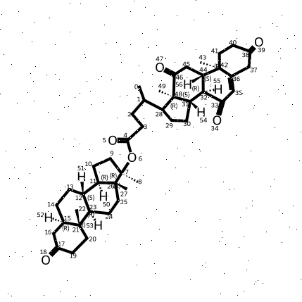 CC(CCC(=O)O[C@]1(C)CC[C@@H]2[C@H]3CC[C@@H]4CC(=O)CC[C@@]4(C)[C@@H]3CC[C@]21C)C1CC[C@H]2[C@@H]3C(=O)C=C4CC(=O)CC[C@]4(C)[C@H]3CC(=O)[C@]12C